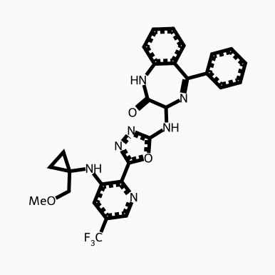 COCC1(Nc2cc(C(F)(F)F)cnc2-c2nnc(NC3N=C(c4ccccc4)c4ccccc4NC3=O)o2)CC1